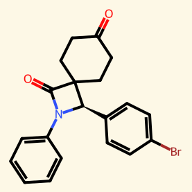 O=C1CCC2(CC1)C(=O)N(c1ccccc1)[C@@H]2c1ccc(Br)cc1